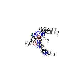 Cc1cc(F)c(NC(=O)Nc2cc(C(C)(C)C)nn2C)cc1Oc1nccc(-c2cnn(C)c2)n1